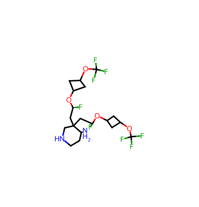 NC1CCNCC1(C[C@H](F)OC1CC(OC(F)(F)F)C1)C[C@H](F)OC1CC(OC(F)(F)F)C1